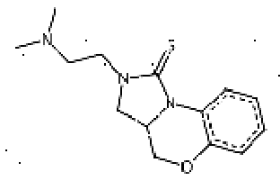 CN(C)CCN1CC2COc3ccccc3N2C1=S